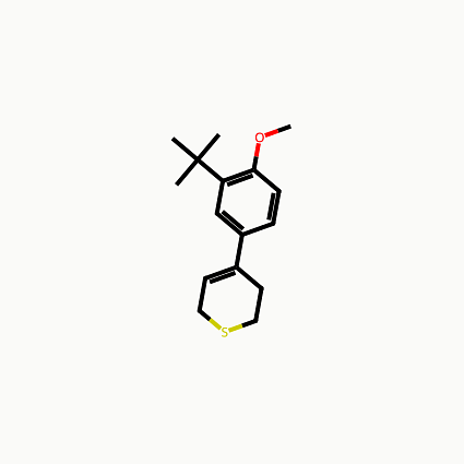 COc1ccc(C2=CCSCC2)cc1C(C)(C)C